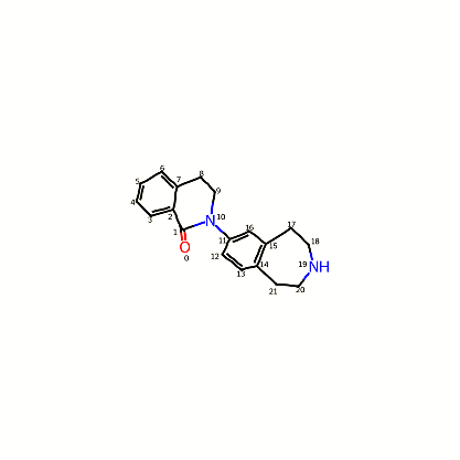 O=C1c2ccccc2CCN1c1ccc2c(c1)CCNCC2